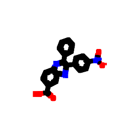 O=C(O)c1ccc2nc(-c3ccccc3)c(-c3ccc([N+](=O)[O-])cc3)nc2c1